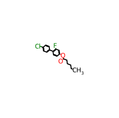 CCCCCC(=O)Oc1ccc(-c2ccc(Cl)cc2)c(F)c1